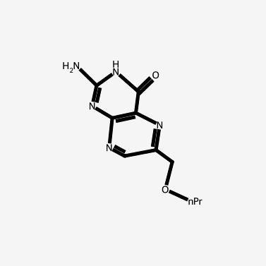 CCCOCc1cnc2nc(N)[nH]c(=O)c2n1